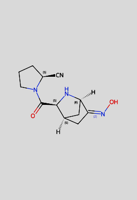 N#C[C@@H]1CCCN1C(=O)[C@H]1N[C@@H]2C[C@H]1C/C2=N/O